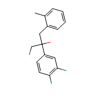 Cc1ccccc1CC(O)(CCl)c1ccc(F)c(F)c1